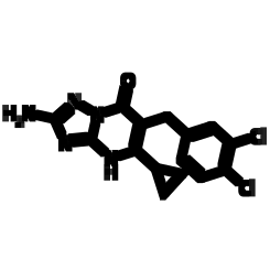 Nc1nc2[nH]c(C3CC3)c(Cc3ccc(Cl)c(Cl)c3)c(=O)n2n1